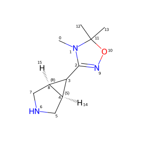 CN1C(C2[C@H]3CNC[C@@H]23)=NOC1(C)C